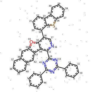 c1ccc(-c2nc(-c3ccccc3)nc(-c3ncc(-c4cccc5c4sc4ccccc45)c4oc5cc6ccccc6cc5c34)n2)cc1